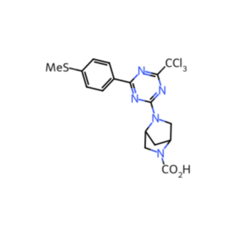 CSc1ccc(-c2nc(N3CC4CC3CN4C(=O)O)nc(C(Cl)(Cl)Cl)n2)cc1